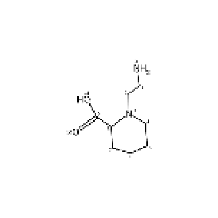 NCCN1CCCCC1C(=O)O